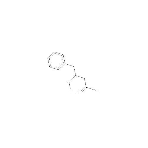 NC(=O)CC(Cc1ccccc1)NC(=O)O